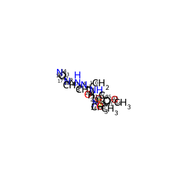 C=C/C(=C\N=C(/C)NCCN(C)c1ccncc1)NC(=O)CCN(C)S(=O)(=O)c1c(C)cc(OC)cc1C